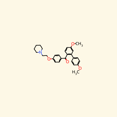 COc1ccc(-c2cc(OC)ccc2C(=O)c2ccc(OCCN3CCCCC3)cc2)cc1